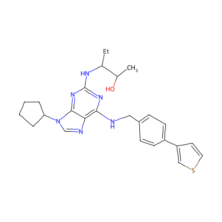 CCC(Nc1nc(NCc2ccc(-c3ccsc3)cc2)c2ncn(C3CCCC3)c2n1)C(C)O